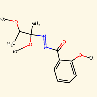 CCOc1ccccc1C(=O)N=NC([SiH3])(OCC)C(C)OCC